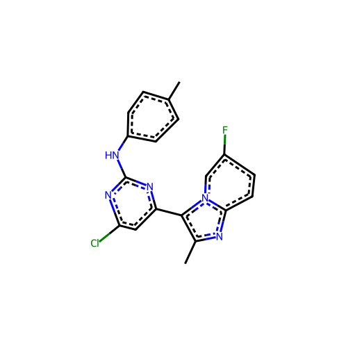 Cc1ccc(Nc2nc(Cl)cc(-c3c(C)nc4ccc(F)cn34)n2)cc1